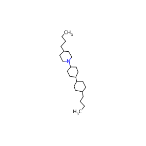 CCCCC1CCC(C2CCC(N3CCC(CCCC)CC3)CC2)CC1